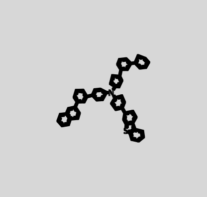 c1ccc(-c2cccc(-c3ccc(N(c4ccc(-c5cccc(-c6ccc7ccccc7c6)c5)cc4)c4ccc(-c5ccc6c(c5)sc5ccccc56)cc4)cc3)c2)cc1